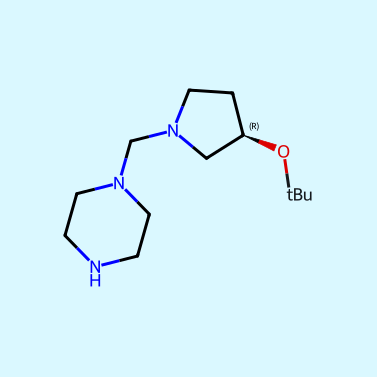 CC(C)(C)O[C@@H]1CCN(CN2CCNCC2)C1